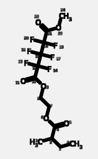 CCC(C)C(=O)OCCOC(=O)C(F)(F)C(F)(F)C(F)(F)C(=O)OC